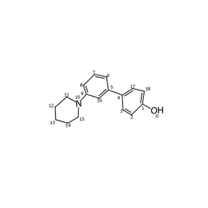 Oc1ccc(-c2cccc(N3CCCCC3)c2)cc1